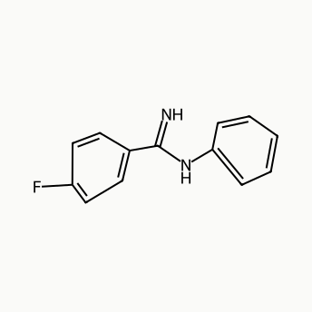 N=C(Nc1ccccc1)c1ccc(F)cc1